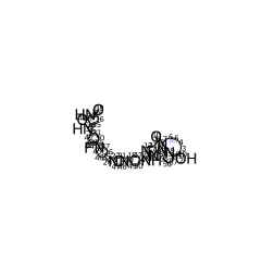 C[C@@]1(O)CC/C=C\Cn2c(=O)c3cnc(Nc4ccc(N5CCN(CC6CCN(c7ccc(NC8CCC(=O)NC8=O)cc7F)CC6)CC5)cc4)nc3n2-c2cccc1n2